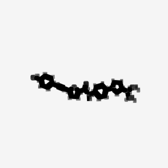 CN(C)C1CCN(c2ccc(NC(=O)c3ccc(C#Cc4ccc(Cl)cc4)o3)cc2)C1